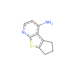 Nc1ccnc2sc3c(c12)CCC3